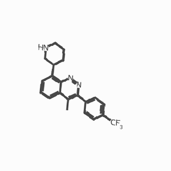 Cc1c(-c2ccc(C(F)(F)F)cc2)nnc2c(C3CCCNC3)cccc12